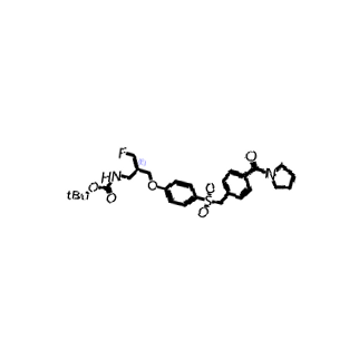 CC(C)(C)OC(=O)NC/C(=C\F)COc1ccc(S(=O)(=O)Cc2ccc(C(=O)N3CCCC3)cc2)cc1